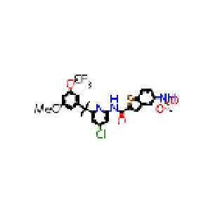 COc1cc(OC(F)(F)F)cc(C(C)(C)c2cc(Cl)cc(NC(=O)c3cc4cc(NS(C)(=O)=O)ccc4s3)n2)c1